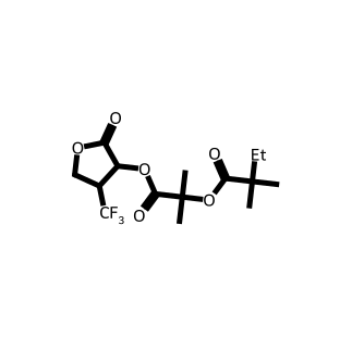 CCC(C)(C)C(=O)OC(C)(C)C(=O)OC1C(=O)OCC1C(F)(F)F